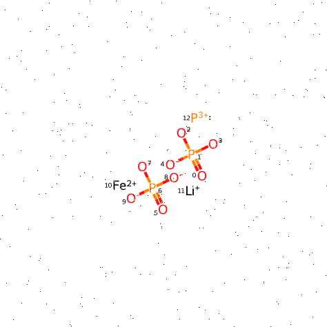 O=P([O-])([O-])[O-].O=P([O-])([O-])[O-].[Fe+2].[Li+].[P+3]